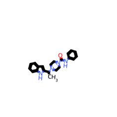 CC(c1cc2ccccc2[nH]1)N1CCN(C(=O)Nc2ccccc2)CC1